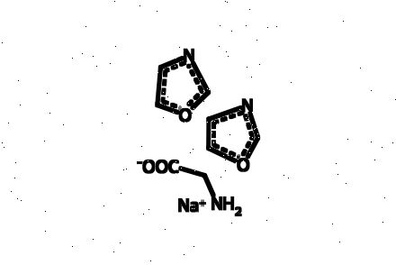 NCC(=O)[O-].[Na+].c1cocn1.c1cocn1